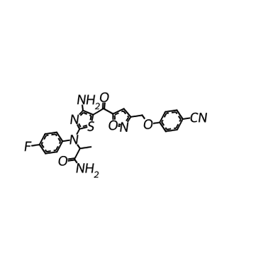 CC(C(N)=O)N(c1ccc(F)cc1)c1nc(N)c(C(=O)c2cc(COc3ccc(C#N)cc3)no2)s1